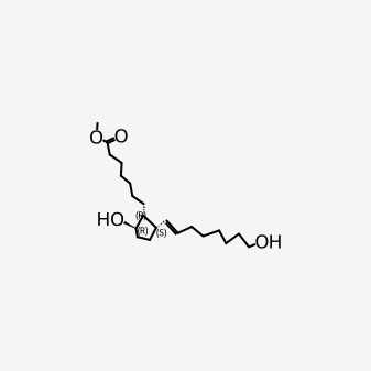 COC(=O)CCCCCC[C@H]1[C@H](O)CC[C@H]1C=CCCCCCCO